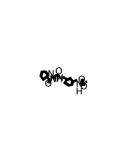 CS(=O)(=O)NCc1cccc(CNC(=O)c2nc3ccccc3c(=O)[nH]2)c1